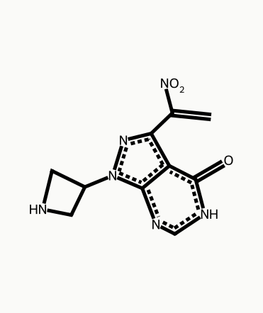 C=C(c1nn(C2CNC2)c2nc[nH]c(=O)c12)[N+](=O)[O-]